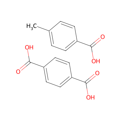 Cc1ccc(C(=O)O)cc1.O=C(O)c1ccc(C(=O)O)cc1